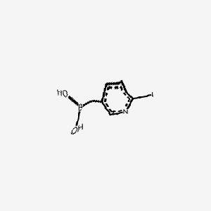 OB(O)c1ccc(I)nc1